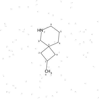 CC1CC2(CCCNC2)C1